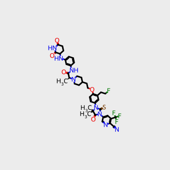 C[C@@H](C(=O)Nc1cccc(NC2CCC(=O)NC2=O)c1)N1CCC(CCOc2ccc(N3C(=S)N(c4cnc(C#N)c(C(F)(F)F)c4)C(=O)C3(C)C)cc2CCF)CC1